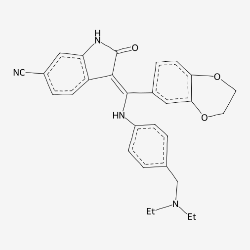 CCN(CC)Cc1ccc(NC(=C2C(=O)Nc3cc(C#N)ccc32)c2ccc3c(c2)OCCO3)cc1